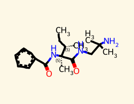 CC[C@H](C)[C@](C)(NC(=O)c1ccccc1)C(=O)NCC(C)(C)N